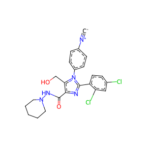 [C-]#[N+]c1ccc(-n2c(-c3ccc(Cl)cc3Cl)nc(C(=O)NN3CCCCC3)c2CO)cc1